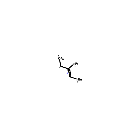 CCCC/C=C(\CCC)COC(C)=O